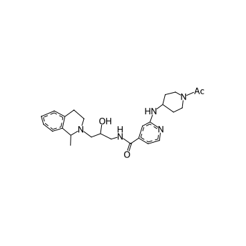 CC(=O)N1CCC(Nc2cc(C(=O)NCC(O)CN3CCc4ccccc4C3C)ccn2)CC1